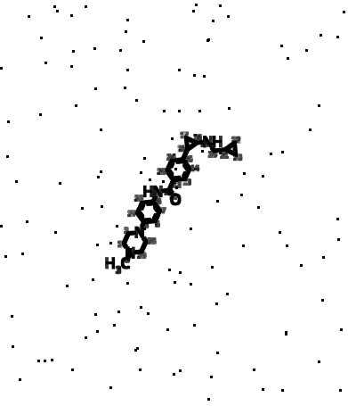 CN1CCN(c2ccc(NC(=O)c3ccc(C4CC4NCC4CC4)cc3)cc2)CC1